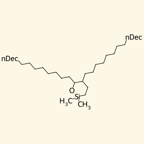 CCCCCCCCCCCCCCCCCCC1CC[Si](C)(C)OC1CCCCCCCCCCCCCCCCCC